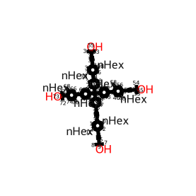 CCCCCCc1cc(C#CC(C)(C)O)c(CCCCCC)cc1C#Cc1ccc(C(c2ccc(-c3cc(CCCCCC)c(C#CC(C)(C)O)cc3CCCCCC)cc2)(c2ccc(-c3cc(CCCCCC)c(C#CC(C)(C)O)cc3CCCCCC)cc2)c2ccc(-c3cc(CCCCCC)c(C(C)(C)O)cc3CCCCCC)cc2)cc1